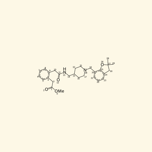 COC(=O)Cc1ccccc1CC(=O)NCC1CCN(Cc2cccc3c2OC(C)(C)C3)CC1